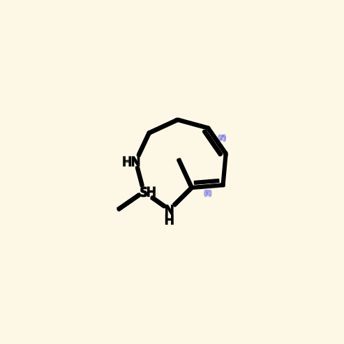 C/C1=C\C=C/CCN[SH](C)N1